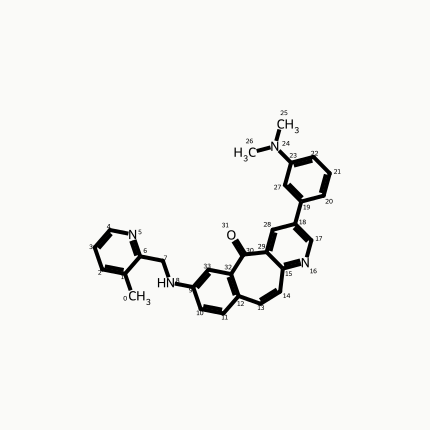 Cc1cccnc1CNc1ccc2ccc3ncc(-c4cccc(N(C)C)c4)cc3c(=O)c2c1